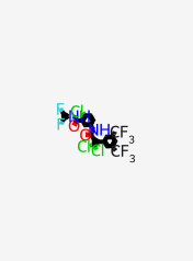 O=C(NC1C(F)C1F)c1cc(NC(=O)C2C(c3cc(C(F)(F)F)cc(C(F)(F)F)c3)C2(Cl)Cl)ccc1Cl